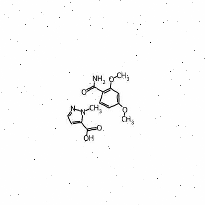 COc1ccc(C(N)=O)c(OC)c1.Cn1nccc1C(=O)O